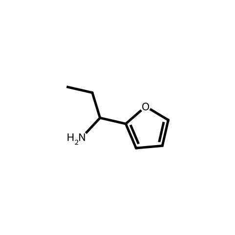 CCC(N)c1ccco1